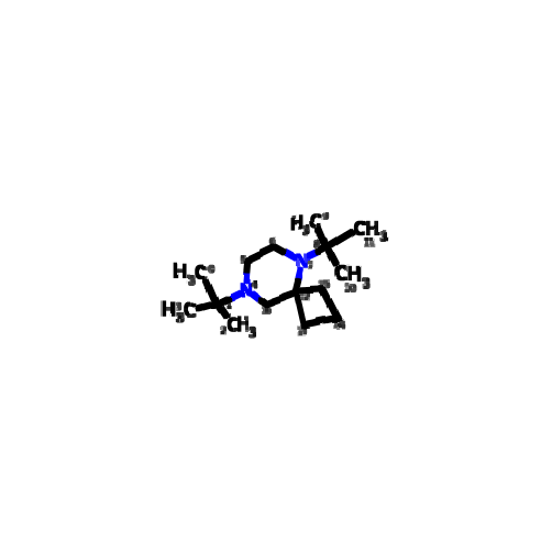 CC(C)(C)N1CCN(C(C)(C)C)C2(CCC2)C1